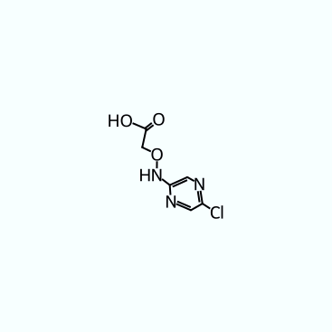 O=C(O)CONc1cnc(Cl)cn1